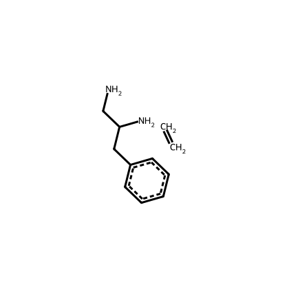 C=C.NCC(N)Cc1ccccc1